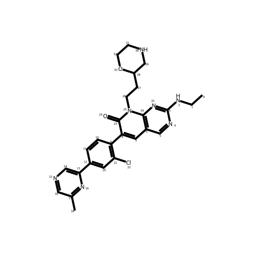 CCNc1ncc2cc(-c3ccc(-c4cncc(C)n4)cc3Cl)c(=O)n(CCC3CNCCO3)c2n1